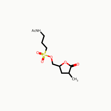 CC(=O)NCCCS(=O)(=O)OCC1CC(C)C(=O)O1